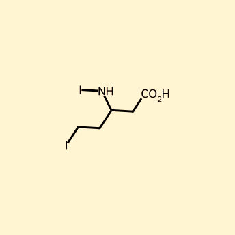 O=C(O)CC(CCI)NI